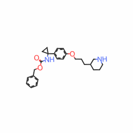 O=C(NC1(c2ccc(OCCCC3CCCNC3)cc2)CC1)OCc1ccccc1